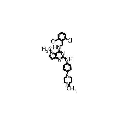 CN1CCN(c2ccc(Nc3nc(NCc4c(Cl)cccc4Cl)c4c(ccn4C)n3)cc2)CC1